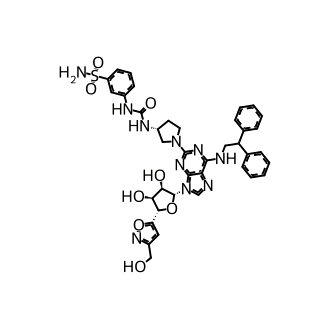 NS(=O)(=O)c1cccc(NC(=O)N[C@@H]2CCN(c3nc(NCC(c4ccccc4)c4ccccc4)c4ncn([C@@H]5O[C@H](c6cc(CO)no6)[C@@H](O)[C@H]5O)c4n3)C2)c1